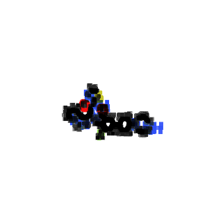 O=C(Nc1nccs1)C(c1ncn2c1CCC2)N1Cc2c(F)cc(C3CCC(N4CCCNCC4)CC3)cc2C1=O